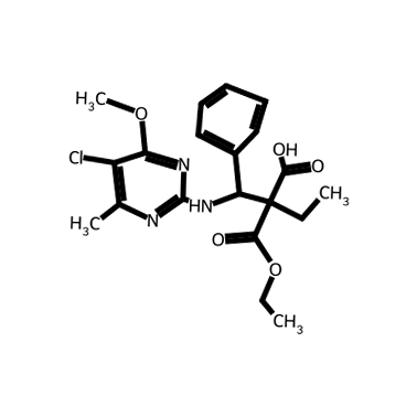 CCOC(=O)C(CC)(C(=O)O)C(Nc1nc(C)c(Cl)c(OC)n1)c1ccccc1